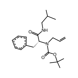 C=CCN(C(=O)OC(C)(C)C)[C@H](Cc1ccccc1)C(=O)NCC(C)C